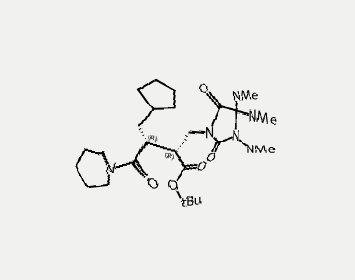 CNN1C(=O)N(C[C@H](C(=O)OC(C)(C)C)[C@@H](CC2CCCC2)C(=O)N2CCCCC2)C(=O)C1(NC)NC